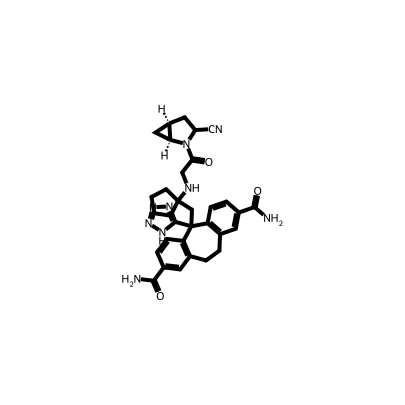 N#CC1C[C@@H]2C[C@@H]2N1C(=O)CNC1(CC2(c3nnn[nH]3)c3ccc(C(N)=O)cc3CCc3cc(C(N)=O)ccc32)CCCC1